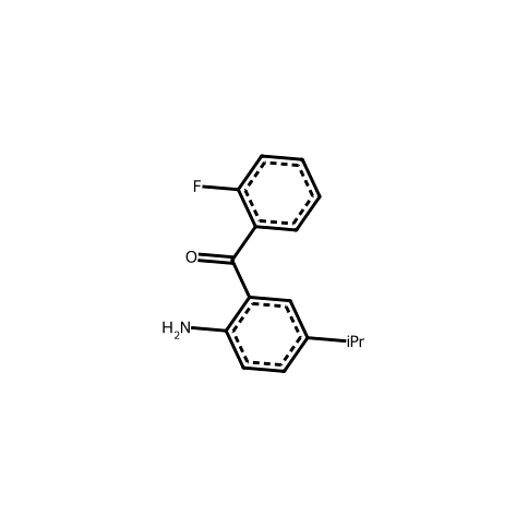 CC(C)c1ccc(N)c(C(=O)c2ccccc2F)c1